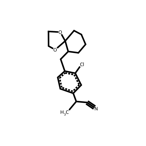 CC(C#N)c1ccc(CC2CCCCC23OCCO3)c(Cl)c1